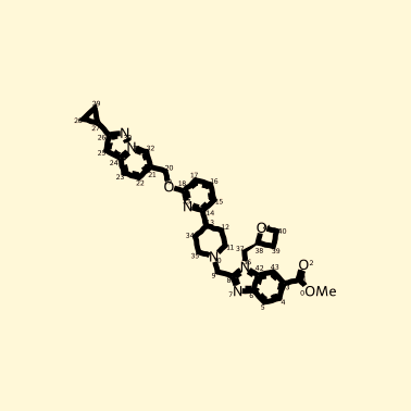 COC(=O)c1ccc2nc(CN3CCC(c4cccc(OCc5ccc6cc(C7CC7)nn6c5)n4)CC3)n(C[C@@H]3CCO3)c2c1